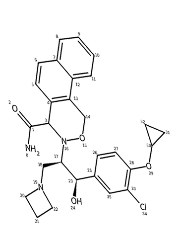 NC(=O)C1c2ccc3ccccc3c2CON1[C@H](CN1CCC1)[C@H](O)c1ccc(OC2CC2)c(Cl)c1